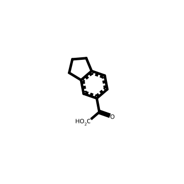 O=C(O)C(=O)c1ccc2c(c1)CCC2